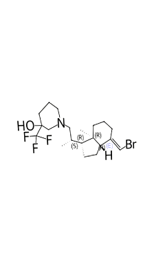 C[C@H](CN1CCCC(O)(C(F)(F)F)C1)[C@H]1CC[C@H]2/C(=C/Br)CCC[C@]12C